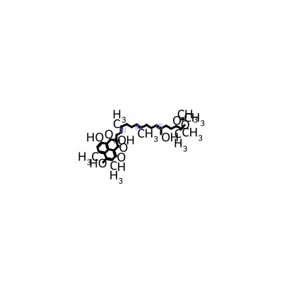 C/C(=C\CC/C(C)=C/C[C@]1(O)C(=O)c2c(O)cc(C)c3c(O)c(C)c(O)c(c23)C1=O)CC/C=C(\CO)CCC1OC(C)(C)OC1(C)C